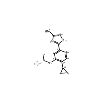 C[C@H](Oc1cc(-c2nc(C(C)(C)C)no2)ncc1C1CC1)C(F)(F)F